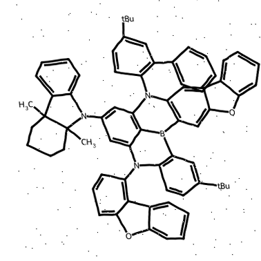 CC(C)(C)c1ccc2c(c1)B1c3cc4oc5ccccc5c4cc3N(c3ccc(C(C)(C)C)cc3-c3ccccc3)c3cc(N4c5ccccc5C5(C)CCCCC45C)cc(c31)N2c1cccc2oc3ccccc3c12